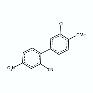 COc1ccc(-c2ccc([N+](=O)[O-])cc2C#N)cc1Cl